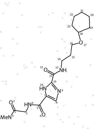 CNC(=O)CNC(=O)c1cnc(C(=O)NCCCOC2CCCCC2)[nH]1